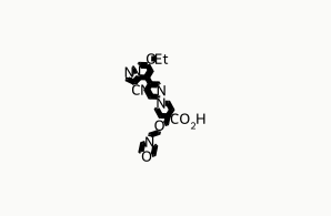 CCOc1cc(-c2ccc(N3CCC(COCCN4CCOCC4)(C(=O)O)CC3)nc2)c2c(C#N)cnn2c1